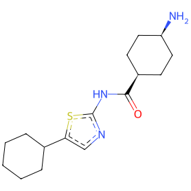 N[C@H]1CC[C@@H](C(=O)Nc2ncc(C3CCCCC3)s2)CC1